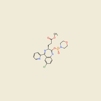 COC(=O)CC[C@@H]1N=C(c2ccccn2)c2cc(Cl)ccc2N=C1O[PH](=O)N1CCOCC1